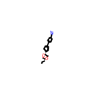 CCC[C@H]1CO[C@H](c2ccc(-c3ccc(C#N)cc3)cc2)CO1